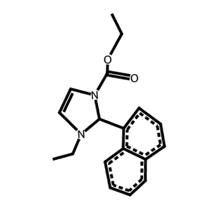 CCOC(=O)N1C=CN(CC)C1c1cccc2ccccc12